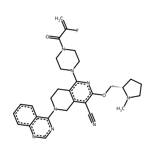 C=C(F)C(=O)N1CCN(c2nc(OC[C@@H]3CCCN3C)c(C#N)c3c2CCN(c2ncnc4ccccc24)C3)CC1